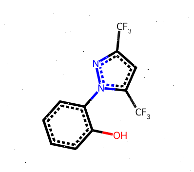 Oc1ccccc1-n1nc(C(F)(F)F)cc1C(F)(F)F